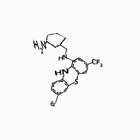 NC1CCCC(CNc2cc(C(F)(F)F)cc3c2Nc2ccc(Br)cc2S3)C1